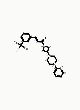 O=C(/C=C/c1cccc(C(F)(F)F)c1)N1CC(N2CCN(c3ccccn3)CC2)C1